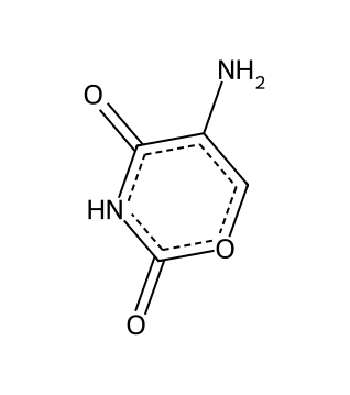 Nc1coc(=O)[nH]c1=O